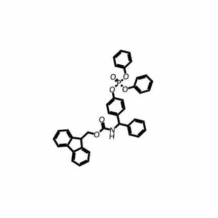 O=C(NC(c1ccccc1)c1ccc(OP(=O)(Oc2ccccc2)Oc2ccccc2)cc1)OCC1c2ccccc2-c2ccccc21